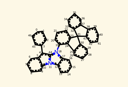 c1ccc(-c2c3ccccc3n3c4ccccc4n(-c4cccc5c4-c4ccccc4C54c5ccccc5-c5ccccc54)c23)cc1